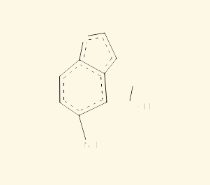 Nc1ccc2sccc2c1.O=S(=O)(O)O